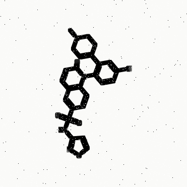 CN1CC=C(c2cc(Cl)ccc2-n2c(=O)ccc3cc(S(=O)(=O)Nc4ccon4)ccc32)CC1